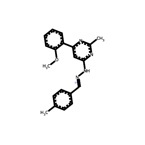 COc1ccccc1-c1cc(N/N=C/c2ccc(C)cc2)nc(C)n1